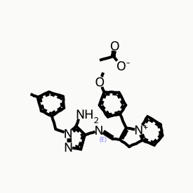 CC(=O)[O-].COc1ccc(C2=C(/C=N/c3cnn(Cc4cccc(C)c4)c3N)Cc3cccc[n+]32)cc1